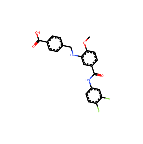 COc1ccc(C(=O)Nc2ccc(F)c(F)c2)cc1NCc1ccc(C(=O)O)cc1